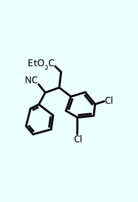 CCOC(=O)CC(c1cc(Cl)cc(Cl)c1)C(C#N)c1ccccc1